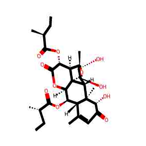 CC[C@H](C)C(=O)O[C@@H]1[C@H]2C(C)=CC(=O)[C@@H](O)[C@]2(C)[C@H]2[C@@H](O)[C@@H](O)[C@@]3(C)OC[C@@]24[C@@H]1OC(=O)[C@H](OC(=O)[C@@H](C)CC)[C@@H]34